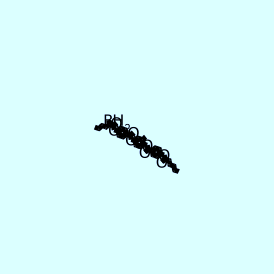 BC(CCCC)C(=O)Oc1ccc(C(=O)Oc2ccc(OC(=O)c3ccc(OC(=O)CCCCC)cc3)c(C)c2)cc1